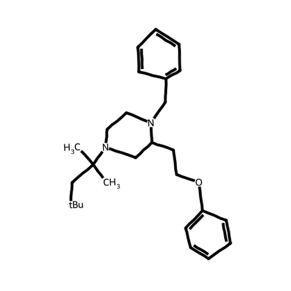 CC(C)(C)CC(C)(C)N1CCN(Cc2ccccc2)C(CCOc2ccccc2)C1